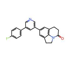 O=C1CCc2cc(-c3cncc(-c4ccc(F)cc4)c3)cc3c2N1CC3